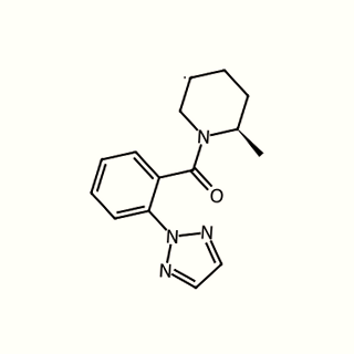 C[C@@H]1CC[CH]CN1C(=O)c1ccccc1-n1nccn1